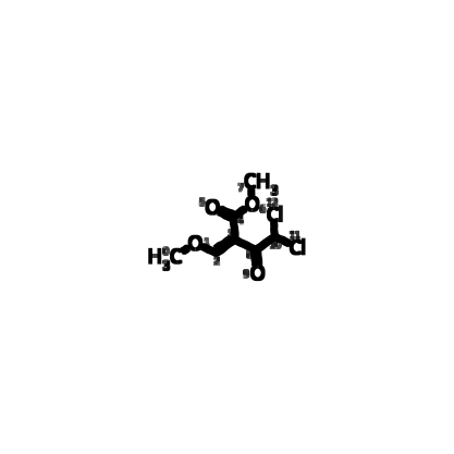 COC=C(C(=O)OC)C(=O)C(Cl)Cl